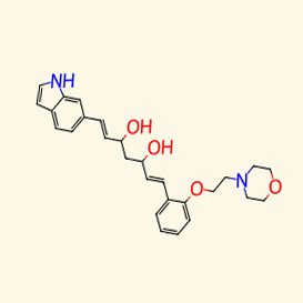 OC(/C=C/c1ccc2cc[nH]c2c1)CC(O)/C=C/c1ccccc1OCCN1CCOCC1